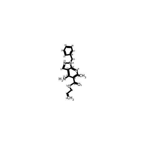 C=CCOC(=O)c1c(C)nc2c(cnn2Cc2ccccc2)c1N